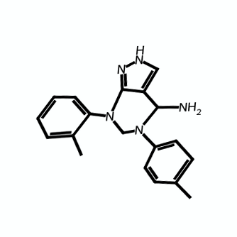 Cc1ccc(N2CN(c3ccccc3C)c3n[nH]cc3C2N)cc1